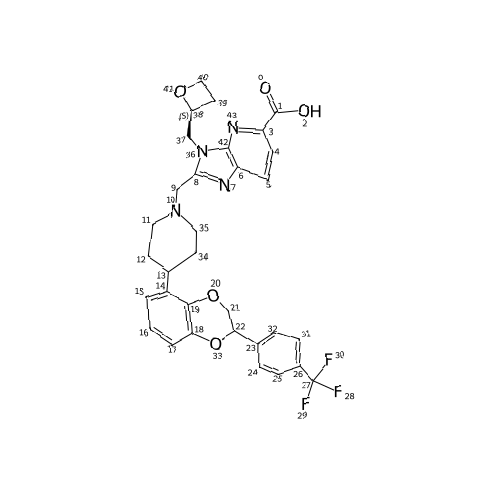 O=C(O)c1ccc2nc(CN3CCC(c4cccc5c4OCC(c4ccc(C(F)(F)F)cc4)O5)CC3)n(C[C@@H]3CCO3)c2n1